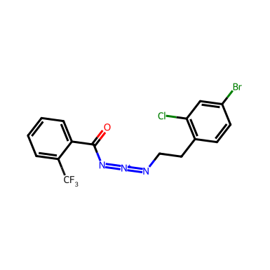 O=C(N=[N+]=NCCc1ccc(Br)cc1Cl)c1ccccc1C(F)(F)F